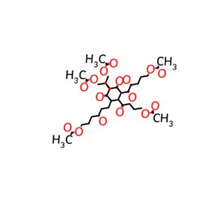 CC(=O)OCCCC(=O)CCC(C(=O)CCCOC(C)=O)C(C(=O)CCCOC(C)=O)C(C(=O)CCCOC(C)=O)C(=O)C(=O)CCCOC(C)=O